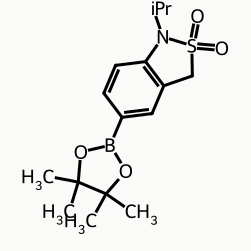 CC(C)N1c2ccc(B3OC(C)(C)C(C)(C)O3)cc2CS1(=O)=O